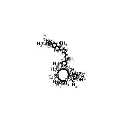 CC[C@H]1OC(=O)[C@H](C)[C@@H](O[C@H]2C[C@@](C)(OC)[C@@H](O)[C@H](C)O2)[C@H](C)[C@@H](O[C@H]2C[C@@H](N(C)CCc3cn([C@H](CF)[C@H](OC)c4ccc(S(=O)(=O)N(CC)CC)cc4)nn3)C[C@@H](C)O2)[C@](C)(O)C[C@@H](C)CN(C)[C@H](C)[C@@H](O)[C@]1(C)O